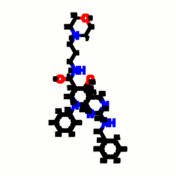 O=C(NCCCN1CCOCC1)c1cn(-c2ccccc2)c2nc(NCc3ccccc3)ncc2c1=O